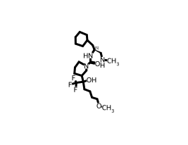 CNC[C@H](CC1CCCCC1)NC(=O)N1CCCC(C(O)(CCCCOC)C(F)(F)F)C1